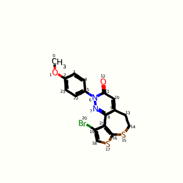 COc1ccc(-n2nc3c(cc2=O)CCSc2scc(Br)c2-3)cc1